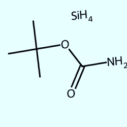 CC(C)(C)OC(N)=O.[SiH4]